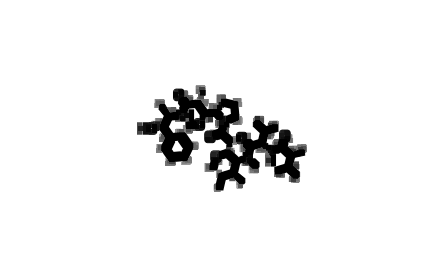 CC[C@H](C)[C@@H]([C@@H](CC(=O)N1CCC[C@H]1[C@H](OC)[C@@H](C)C(=O)N[C@H](C)[C@@H](O)c1ccccc1)OC)N(C)C(=O)[C@@H](NC(=O)[C@@H](C)C(C)C)C(C)C